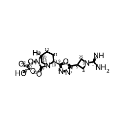 N=C(N)N1CC(c2nnc([C@@H]3CC[C@@H]4CN3C(=O)N4OS(=O)(=O)O)o2)C1